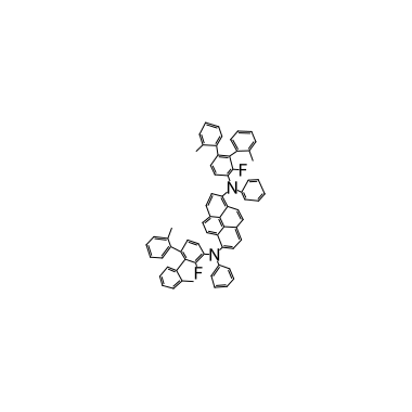 Cc1ccccc1-c1ccc(N(c2ccccc2)c2ccc3ccc4c(N(c5ccccc5)c5ccc(-c6ccccc6C)c(-c6ccccc6C)c5F)ccc5ccc2c3c54)c(F)c1-c1ccccc1C